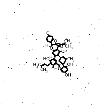 CC(C)=CCc1c(O)ccc(C(=O)[C@@]2(c3ccc(O)cc3O)CC(C)=C[C@H](c3c(O)cc4c(c3O)C(=O)C3(CC=C(C)C)Oc5cc(O)ccc5C3(O)O4)C2)c1O